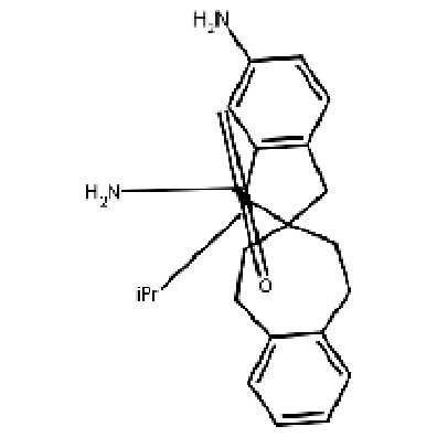 CC(C)N1C(=O)C2(N=C1N)c1cc(N)ccc1CC21CCc2ccccc2CC1